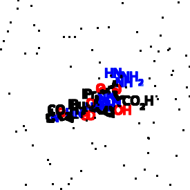 CCC(C)C(NC(=O)C(Cc1ccc(O)cc1)NC(=O)C(NC(=O)[C@H](CCCNC(=N)N)NC(=O)[C@@H](N)CC(=O)O)C(C)C)C(=O)NC[C@H]1C[C@@H](CC(=O)N2CCC[C@H]2C(=O)O)C1